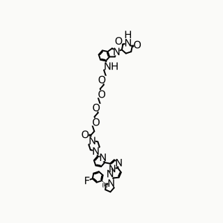 O=C1CCC(N2Cc3cccc(NCCOCCOCCOCCOCCC(=O)N4CCN(c5cccc(-c6cnc7ccc(N8CCC[C@@H]8c8cccc(F)c8)nn67)n5)CC4)c3C2)C(=O)N1